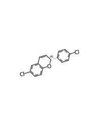 Clc1ccc([C@H]2C=Cc3cc(Cl)ccc3O2)cc1